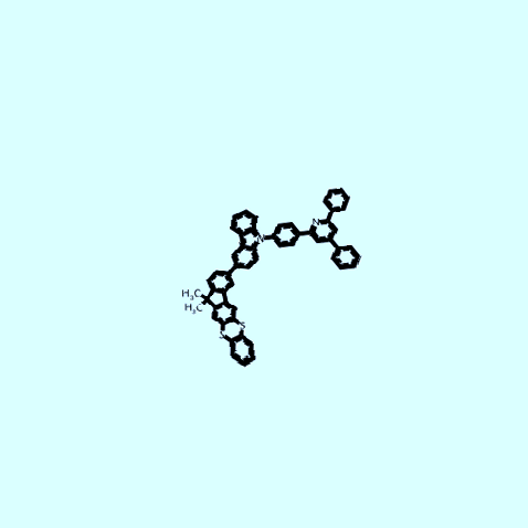 CC1(C)c2ccc(-c3ccc4c(c3)c3ccccc3n4-c3ccc(-c4cc(-c5ccccc5)cc(-c5ccccc5)n4)cc3)cc2-c2cc3c(cc21)Sc1ccccc1S3